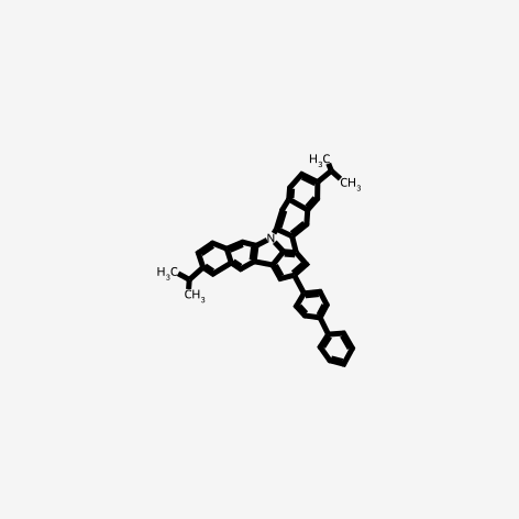 CC(C)c1ccc2cc3c(cc2c1)c1cc(-c2ccc(-c4ccccc4)cc2)cc2c4cc5cc(C(C)C)ccc5cc4n3c12